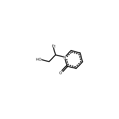 CCC(CO)n1ccccc1=O